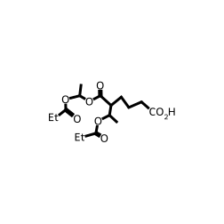 CCC(=O)OC(C)OC(=O)C(CCCC(=O)O)C(C)OC(=O)CC